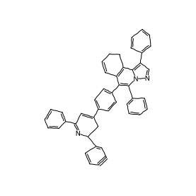 c1ccc(C2CC(c3ccc(-c4c5c(c6c(-c7ccccc7)cnn6c4-c4ccccc4)CCC=C5)cc3)=CC(c3ccccc3)=N2)cc#1